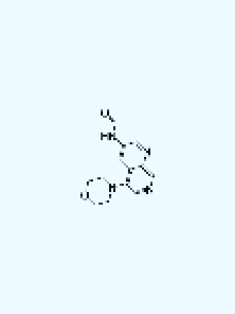 O=CNc1cnc2cncc(N3CCOCC3)c2c1